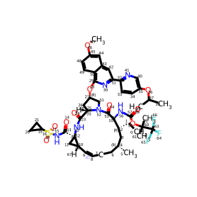 CC[C@@H]1C[C@H](C)CC/C=C\[C@@H]2C[C@@]2(C(=O)NS(=O)(=O)C2CC2)NC(=O)[C@@H]2C[C@@H](Oc3nc(-c4ccc(OC(C)C)cn4)cc4cc(OC)ccc34)CN2C(=O)[C@H]1NC(=O)OC(C)(C)C(F)(F)F